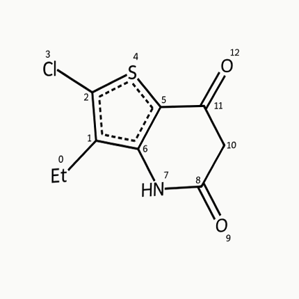 CCc1c(Cl)sc2c1NC(=O)CC2=O